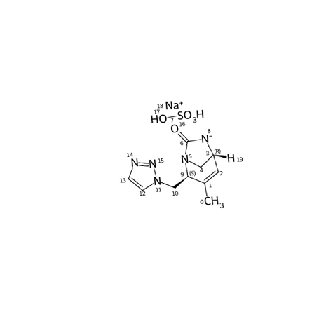 CC1=C[C@@H]2CN(C(=O)[N-]2)[C@@H]1Cn1ccnn1.O=S(=O)(O)O.[Na+]